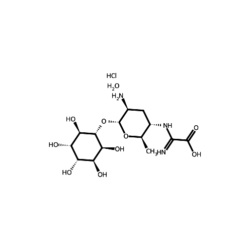 C[C@H]1O[C@H](O[C@H]2[C@H](O)[C@@H](O)[C@@H](O)[C@H](O)[C@@H]2O)[C@@H](N)C[C@@H]1NC(=N)C(=O)O.Cl.O